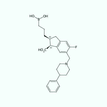 O=C(O)[C@@H]1c2cc(CN3CCC(c4ccccc4)CC3)c(F)cc2C[C@@H]1CCCB(O)O